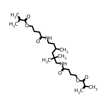 C=C(C)C(=O)OCCCC(=O)NCCC(C)CC(C)(C)CNC(=O)CCCOC(=O)C(=C)C